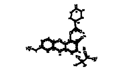 CCc1ccc2oc3c(OC(=O)N4CCNCC4)c(=O)ccc-3nc2c1.O=C(O)C(F)(F)F